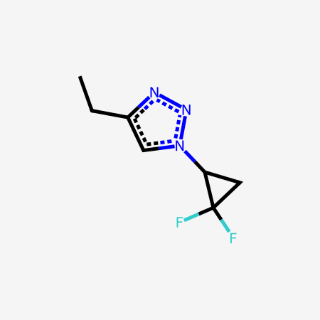 CCc1cn(C2CC2(F)F)nn1